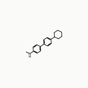 CNc1ccc(-c2ccc(C3CCCCC3)cc2)cc1